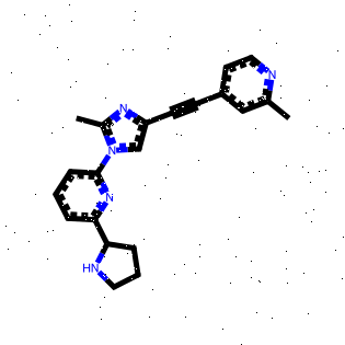 Cc1cc(C#Cc2cn(-c3cccc(C4CCCN4)n3)c(C)n2)ccn1